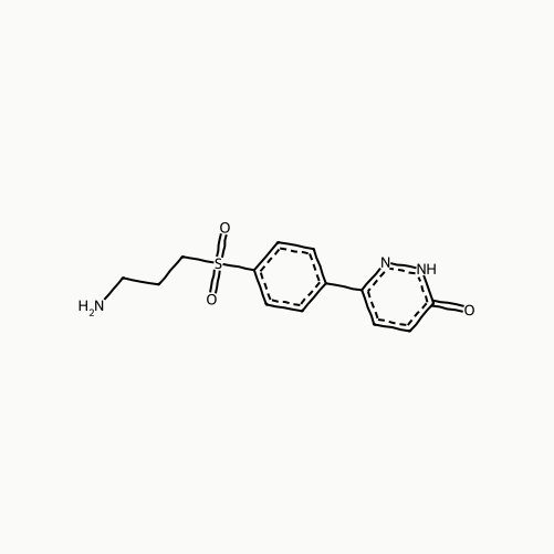 NCCCS(=O)(=O)c1ccc(-c2ccc(=O)[nH]n2)cc1